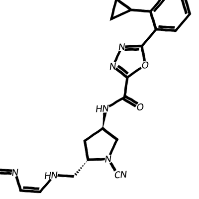 N#CN1C[C@H](NC(=O)c2nnc(-c3ccccc3C3CC3)o2)C[C@H]1CN/C=C\N=N